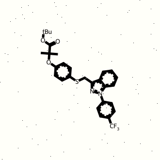 CC(C)(C)OC(=O)C(C)(C)Oc1ccc(SCc2nn(-c3ccc(C(F)(F)F)cc3)c3ccccc23)cc1